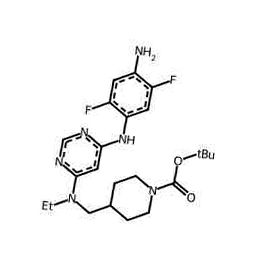 CCN(CC1CCN(C(=O)OC(C)(C)C)CC1)c1cc(Nc2cc(F)c(N)cc2F)ncn1